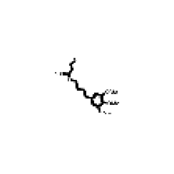 CCCC(CCBr)OCCCCc1cc(OC)c(OC)c(OC)c1